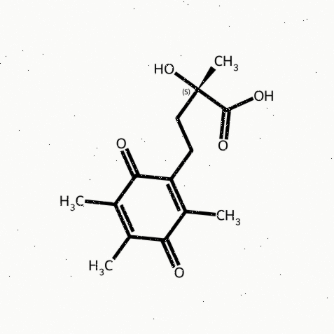 CC1=C(C)C(=O)C(CC[C@](C)(O)C(=O)O)=C(C)C1=O